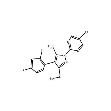 CCOc1nn(-c2ncc(CC)cn2)c(C)c1-c1ccc(F)cc1F